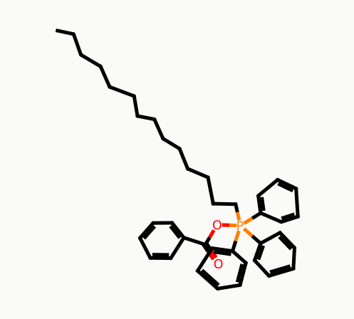 CCCCCCCCCCCCCCP(OC(=O)c1ccccc1)(c1ccccc1)(c1ccccc1)c1ccccc1